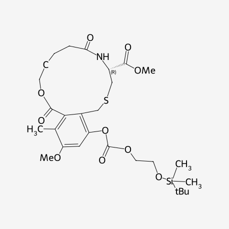 COC(=O)[C@@H]1CSCc2c(OC(=O)OCCO[Si](C)(C)C(C)(C)C)cc(OC)c(C)c2C(=O)OCCCCC(=O)N1